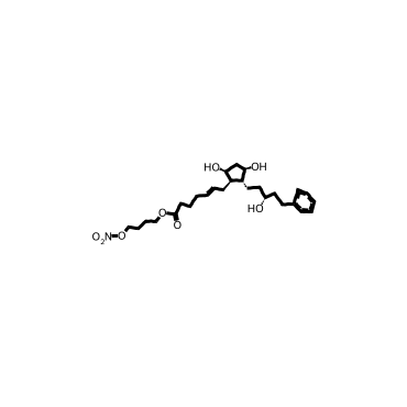 O=C(CCCC=CC[C@@H]1[C@@H](CC[C@@H](O)CCc2ccccc2)[C@H](O)C[C@@H]1O)OCCCCO[N+](=O)[O-]